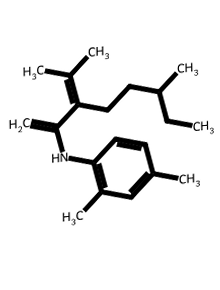 C=C(Nc1ccc(C)cc1C)C(CCC(C)CC)=C(C)C